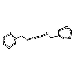 C(=C=NCc1ccccc1)=NCc1ccccc1